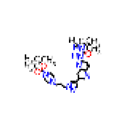 CC(C)(C)NC(=O)Nc1ccc2c(n1)CC(c1cnn(CCCN3CCN(C(=O)OC(C)(C)C)CC3)c1)C=N2